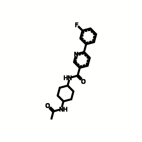 CC(=O)NC1CCC(NC(=O)c2ccc(-c3cccc(F)c3)nc2)CC1